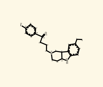 CCc1ccc2c(c1)C1CN(CCCC(=O)c3ccc(F)cc3)CCC1N2